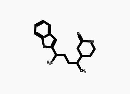 CC(CCC(C)C1CCNC(=O)C1)c1cc2ccccc2s1